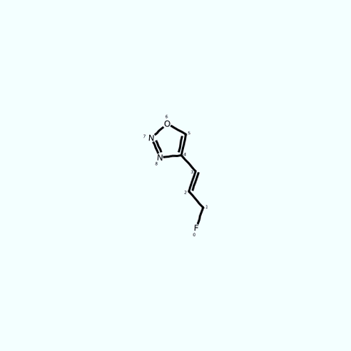 FCC=Cc1conn1